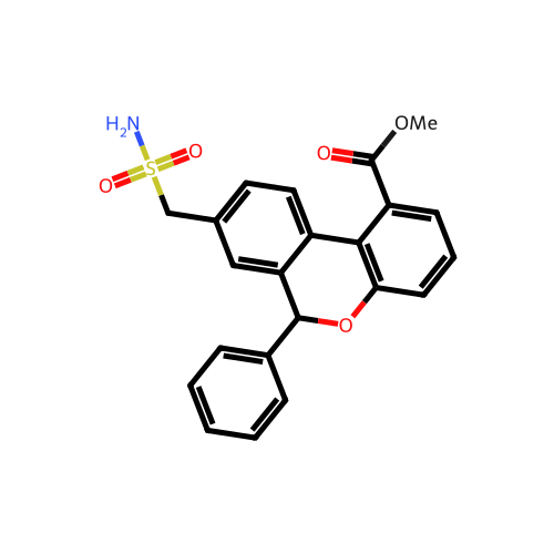 COC(=O)c1cccc2c1-c1ccc(CS(N)(=O)=O)cc1C(c1ccccc1)O2